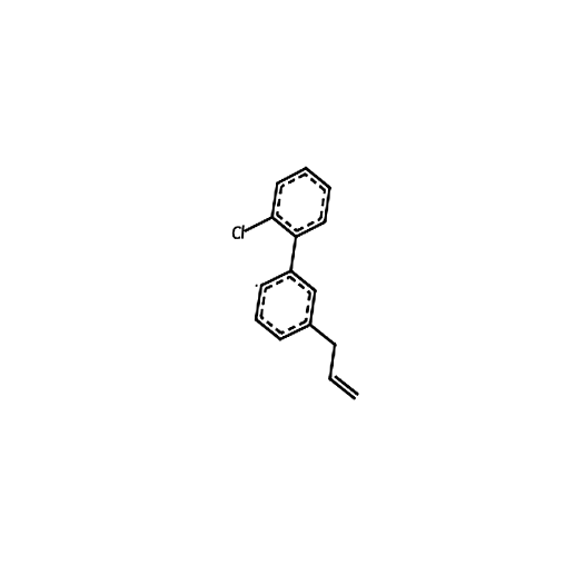 C=CCc1cc[c]c(-c2ccccc2Cl)c1